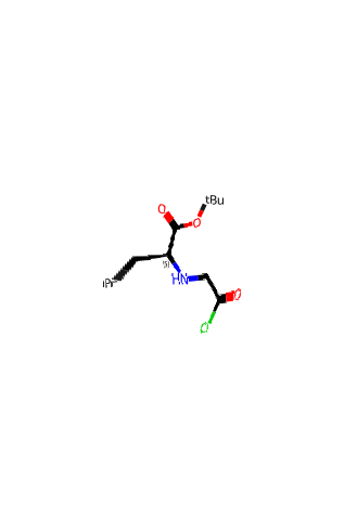 CC(C)C[C@H](NCC(=O)Cl)C(=O)OC(C)(C)C